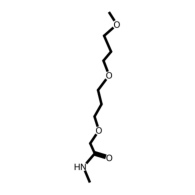 CNC(=O)COCCCOCCCOC